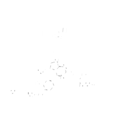 CNC(=O)CSc1nc(-c2cc(OCCOC)c(OC)cc2Cl)c2c(C#N)cn(COCC[Si](C)(C)C)c2n1